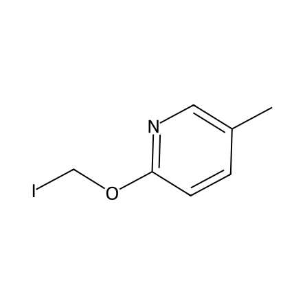 Cc1ccc(OCI)nc1